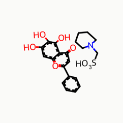 O=S(=O)(O)CN1CCCCC1.O=c1cc(-c2ccccc2)oc2cc(O)c(O)c(O)c12